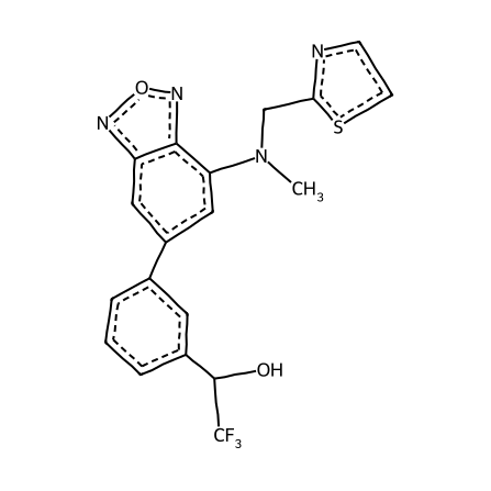 CN(Cc1nccs1)c1cc(-c2cccc(C(O)C(F)(F)F)c2)cc2nonc12